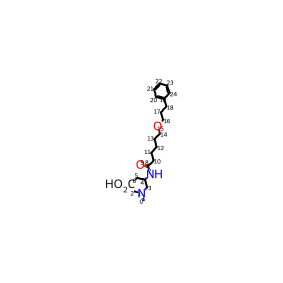 CN(C)CC(CC(=O)O)NC(=O)CCCCCOCCCc1ccccc1